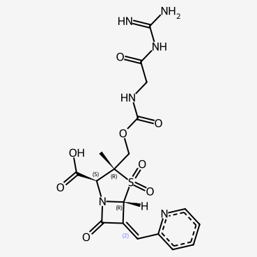 C[C@]1(COC(=O)NCC(=O)NC(=N)N)[C@H](C(=O)O)N2C(=O)/C(=C/c3ccccn3)[C@H]2S1(=O)=O